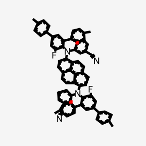 Cc1ccc(-c2cc(F)c(N(c3cccc(C#N)c3)c3ccc4ccc5c(N(c6cccc(C#N)c6)c6c(F)cc(-c7ccc(C)cc7)cc6-c6ccc(C)cc6)ccc6ccc3c4c65)c(-c3ccc(C)cc3)c2)cc1